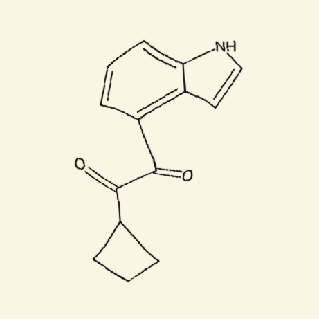 O=C(C(=O)C1CCC1)c1cccc2[nH]ccc12